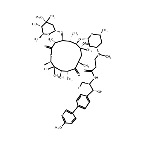 COc1ccc(-c2ccc([C@@H](O)[C@@H](CF)NC(=O)CCN(C)[C@@H]3C[C@H](O[C@@H]4[C@@H](C)[C@H](O[C@H]5C[C@@](C)(OC)[C@@H](O)[C@H](C)O5)[C@@H](C)C(=O)O[C@H](I)[C@@](C)(O)[C@H](O)[C@@H](C)C(=O)[C@H](C)C[C@@]4(C)OC)O[C@H](C)C3)cc2)cn1